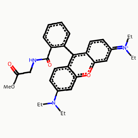 CCN(CC)c1ccc2c(-c3ccccc3C(=O)NCC(=O)OC)c3ccc(=[N+](CC)CC)cc-3oc2c1